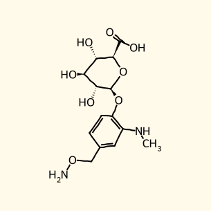 CNc1cc(CON)ccc1O[C@@H]1O[C@H](C(=O)O)[C@@H](O)[C@H](O)[C@H]1O